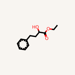 CCOC(=O)C(O)CCc1ccccc1